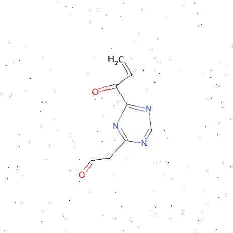 C=CC(=O)c1ncnc(CC=O)n1